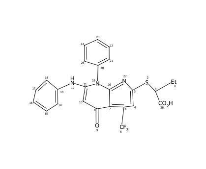 CCC(Sc1cc(C(F)(F)F)c2c(=O)cc(Nc3ccccc3)n(-c3ccccc3)c2n1)C(=O)O